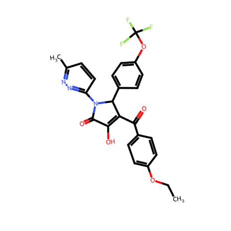 CCOc1ccc(C(=O)C2=C(O)C(=O)N(c3ccc(C)nn3)C2c2ccc(OC(F)(F)F)cc2)cc1